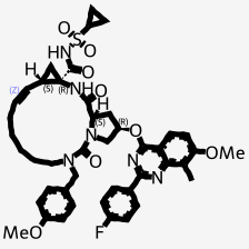 COc1ccc(CN2CCCCC/C=C\[C@@H]3C[C@@]3(C(=O)NS(=O)(=O)C3CC3)NC(=O)[C@@H]3C[C@@H](Oc4nc(-c5ccc(F)cc5)nc5c(C)c(OC)ccc45)CN3C2=O)cc1